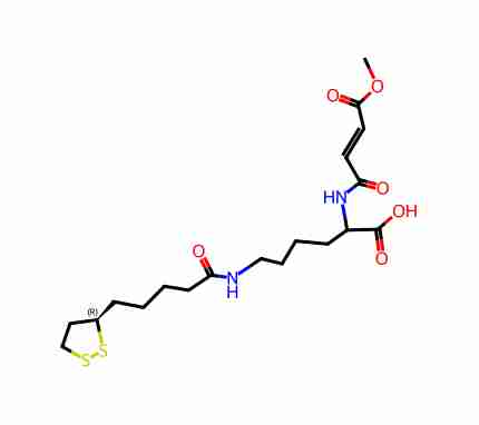 COC(=O)C=CC(=O)NC(CCCCNC(=O)CCCC[C@@H]1CCSS1)C(=O)O